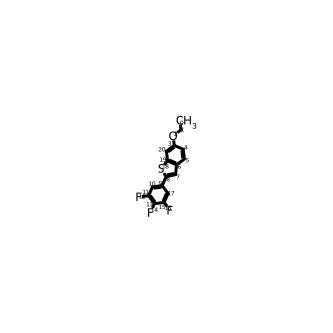 CCOc1ccc2cc(-c3cc(F)c(F)c(F)c3)sc2c1